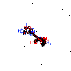 CC(C)(NCC(=O)C(C)(C)NCC(=O)C(C)(C)NC(=O)[C@@H](N)Cc1cnc[nH]1)C(=O)CN[C@@H](CCCCNC(=O)COCCOCCNc1nc(Nc2cccc(S(=O)(=O)O)c2)nc(Nc2ccc(Nc3cc(S(=O)(=O)O)c(N)c4c3C(=O)c3ccccc3C4=O)cc2S(=O)(=O)O)n1)C(N)=O